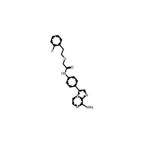 CNc1nccn2c(-c3ccc(NC(=O)COCCc4ccccc4F)cc3)cnc12